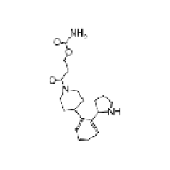 NC(=O)OCCC(=O)N1CCC(c2ccccc2C2CCCN2)CC1